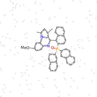 COc1ccc2nc(-c3c(P(=O)(c4ccc5ccccc5c4)c4ccc5ccccc5c4)ccc4ccccc34)c3c(C)cc(C)n3c2c1